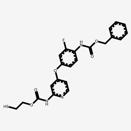 O=C(Nc1cc(Oc2ccc(NC(=O)OCc3ccccc3)c(F)c2)ccn1)OCCS